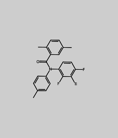 Cc1ccc(N(C(=O)c2cc(C)ccc2C)c2ccc(F)[c]([Ti])c2F)cc1